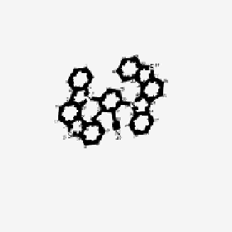 N#Cc1c(-n2c3ccccc3c3ccc4sc5ccccc5c4c32)ccc(-n2c3ccccc3c3ccc4sc5ccccc5c4c32)c1C#N